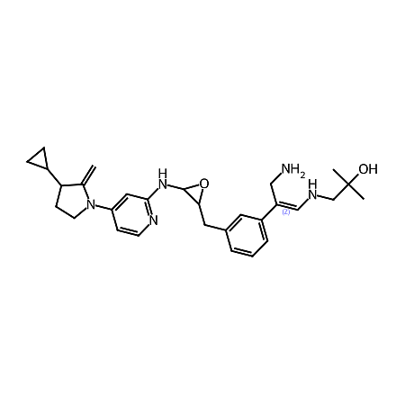 C=C1C(C2CC2)CCN1c1ccnc(NC2OC2Cc2cccc(/C(=C/NCC(C)(C)O)CN)c2)c1